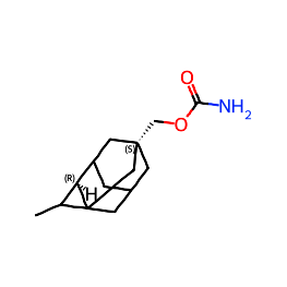 CC1[C@H]2C3CC4CC12C[C@](COC(N)=O)(C4)C3